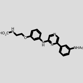 CC(=O)Nc1cccc(-c2cncc(Nc3cccc(OCCNC(=O)O)c3)n2)c1